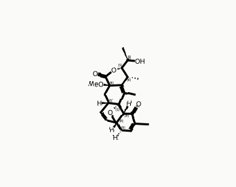 CO[C@]12C[C@H]3C=C[C@H]4[C@@H]5C=C(C)C(=O)[C@H]4[C@]3(O5)C(C)=C1[C@@H](C)[C@@H]([C@@H](C)O)OC2=O